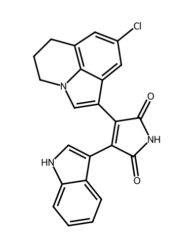 O=C1NC(=O)C(c2cn3c4c(cc(Cl)cc24)CCC3)=C1c1c[nH]c2ccccc12